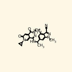 Cc1cc(C(C)Nc2nn(C)c(=O)c3cc(=O)n(C4CC4)cc23)cc2c1c(C#N)nn2C